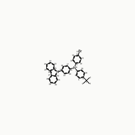 CC(C)(C)c1ccc(N(c2ccc(Br)cc2)c2ccc(-n3c4ccccc4c4ccccc43)cc2)cc1